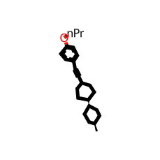 CCCOc1ccc(C#CC2CCC([C@H]3CC[C@H](C)CC3)CC2)cc1